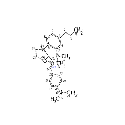 [CH2]CCc1ccc2c(c1)C(C)(C)C1(/C=C/c3ccc(N(C)C)cc3)OCCN21